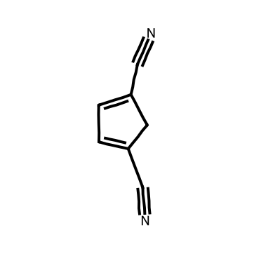 N#CC1=CC=C(C#N)C1